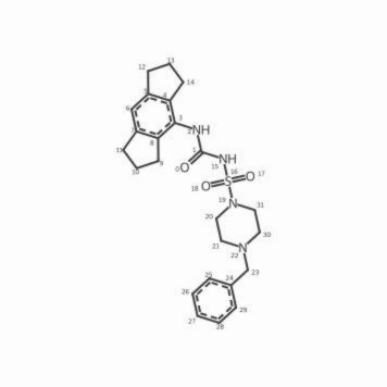 O=C(Nc1c2c(cc3c1CCC3)CCC2)NS(=O)(=O)N1CCN(Cc2ccccc2)CC1